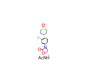 CC(=O)NC[C@H]1CN(c2ccc([C@H]3CC[S@+]([O-])CC3)c(F)c2)C(=O)O1